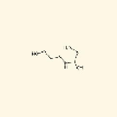 CC(CN)NCCCO